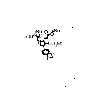 CCCCN(CCCC)C(=O)CN1C[C@H](c2ccc3c(c2)OCO3)[C@H](C(=O)OCC)[C@H]1C=CC(=O)OC(C)(C)C